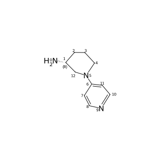 N[C@@H]1CCCN(c2ccncc2)C1